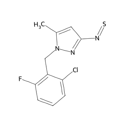 Cc1cc(N=S)nn1Cc1c(F)cccc1Cl